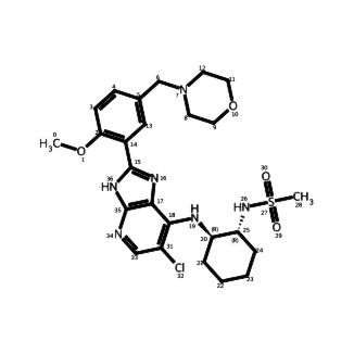 COc1ccc(CN2CCOCC2)cc1-c1nc2c(N[C@@H]3CCCC[C@H]3NS(C)(=O)=O)c(Cl)cnc2[nH]1